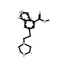 COC(=O)c1cc(CCN2CCOCC2)cc2n[nH]cc12